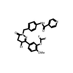 CCC1CC(=O)N(Cc2ccc(NC(=O)c3ccncc3)cc2)N=C1c1ccc(OC)c(OC(F)F)c1